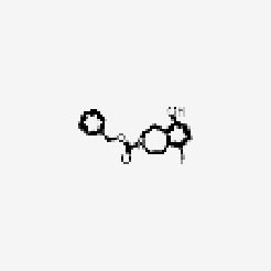 O=C(OCc1ccccc1)N1CCc2c(O)ccc(F)c2CC1